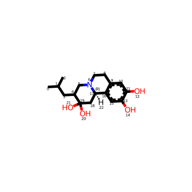 CC(C)CC1CN2CCc3cc(O)c(O)cc3[C@H]2CC1(O)O